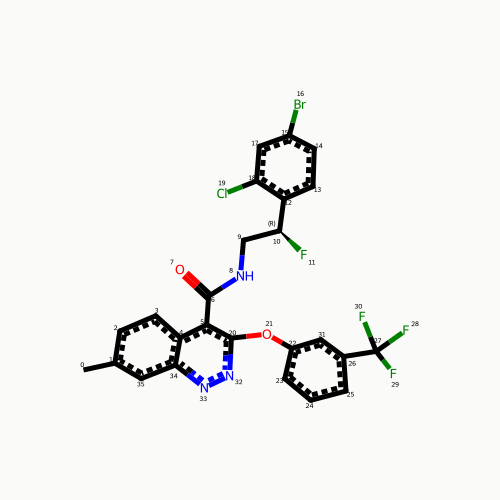 Cc1ccc2c(C(=O)NC[C@H](F)c3ccc(Br)cc3Cl)c(Oc3cccc(C(F)(F)F)c3)nnc2c1